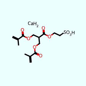 C=C(C)C(=O)OCC(COC(=O)C(=C)C)C(=O)OCCS(=O)(=O)O.[CaH2]